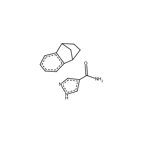 NC(=O)c1cn[nH]c1.c1ccc2c(c1)C1CCC2C1